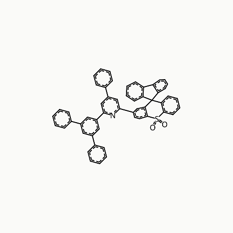 O=S1(=O)c2ccccc2C2(c3ccccc3-c3ccccc32)c2cc(-c3cc(-c4ccccc4)cc(-c4cc(-c5ccccc5)cc(-c5ccccc5)c4)n3)ccc21